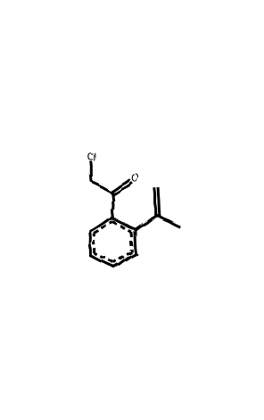 C=C(C)c1ccccc1C(=O)CCl